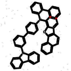 c1ccc(-c2ccccc2N(c2ccc(-c3cccc(-n4c5ccccc5c5ccccc54)c3)cc2)c2cccc3c2oc2c4ccccc4ccc32)cc1